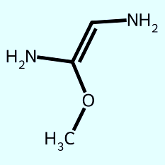 CO/C(N)=C\N